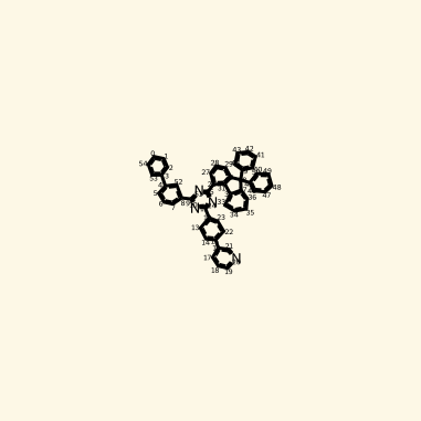 c1ccc(-c2cccc(-c3nc(-c4ccc(-c5cccnc5)cc4)nc(-c4cccc5c4-c4ccccc4C5(c4ccccc4)c4ccccc4)n3)c2)cc1